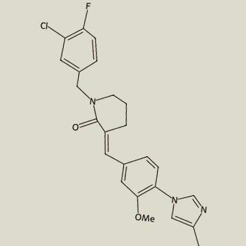 COc1cc(/C=C2\CCCN(Cc3ccc(F)c(Cl)c3)C2=O)ccc1-n1cnc(C)c1